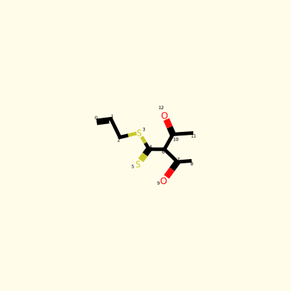 C=CCSC(=S)C(C(C)=O)C(C)=O